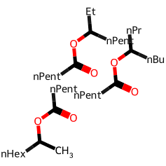 CCCCCC(=O)OC(CC)CCCCC.CCCCCC(=O)OC(CCC)CCCC.CCCCCCC(C)OC(=O)CCCCC